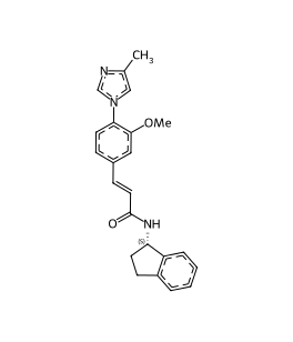 COc1cc(C=CC(=O)N[C@H]2CCc3ccccc32)ccc1-n1cnc(C)c1